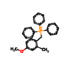 COc1ccc(C[PH](c2ccccc2)(c2ccccc2)c2ccccc2)c(C)c1